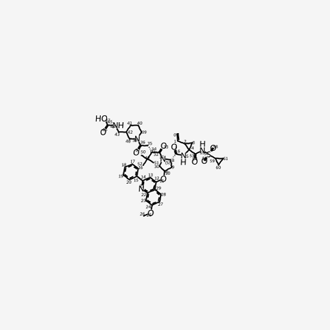 C=CC1CC1(NC(=O)[C@@H]1C[C@@H](Oc2cc(-c3ccccc3)nc3cc(OC)ccc23)CN1C(=O)[C@@H](CC(=O)N1CCCC(CNC(=O)O)C1)C(C)(C)C)C(=O)NS(=O)(=O)C1CC1